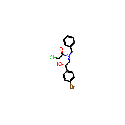 O=C(CCl)N(Cc1ccccc1)C[C@H](O)c1ccc(Br)cc1